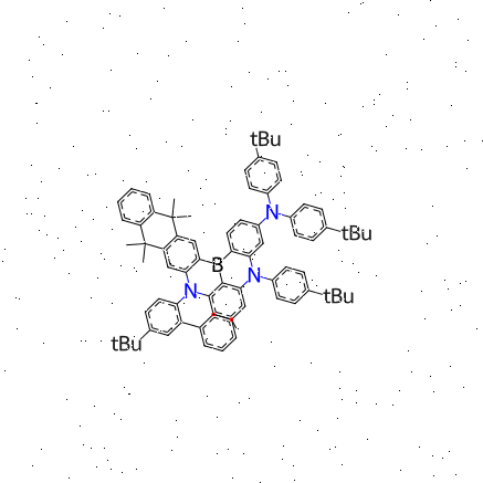 Cc1cc2c3c(c1)N(c1ccc(C(C)(C)C)cc1-c1ccccc1)c1cc4c(cc1B3c1ccc(N(c3ccc(C(C)(C)C)cc3)c3ccc(C(C)(C)C)cc3)cc1N2c1ccc(C(C)(C)C)cc1)C(C)(C)c1ccccc1C4(C)C